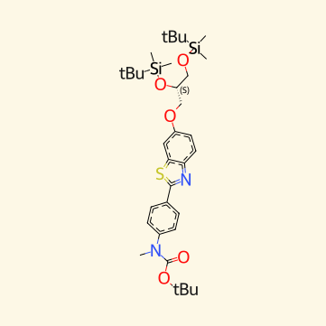 CN(C(=O)OC(C)(C)C)c1ccc(-c2nc3ccc(OC[C@@H](CO[Si](C)(C)C(C)(C)C)O[Si](C)(C)C(C)(C)C)cc3s2)cc1